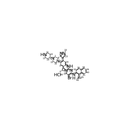 COc1cc(N2CCN(C3CCNCC3)CC2)c(-c2cnn(C)c2)cc1Nc1ncc(Br)c(Nc2ccc3ccccc3c2P(C)C)n1.Cl